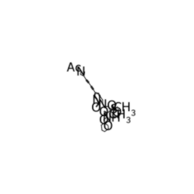 CC(=O)N1CC(C#CC#Cc2cc3n(c2)C(=O)N(CC[C@](C)(C(=O)NOC2CCCCO2)S(C)(=O)=O)C3)C1